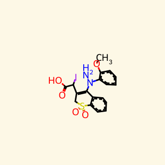 COc1ccccc1N(N)C1=C(C(I)C(=O)O)CS(=O)(=O)c2ccccc21